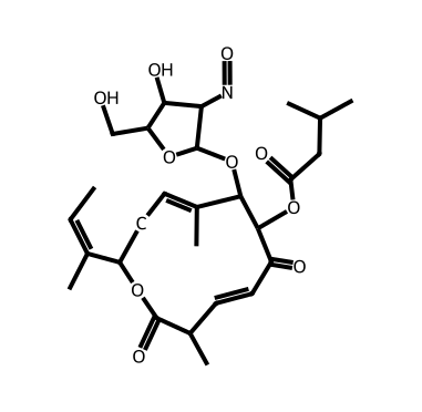 C/C=C(/C)C1C/C=C(\C)C(OC2OC(CO)C(O)C2N=O)C(OC(=O)CC(C)C)C(=O)/C=C/C(C)C(=O)O1